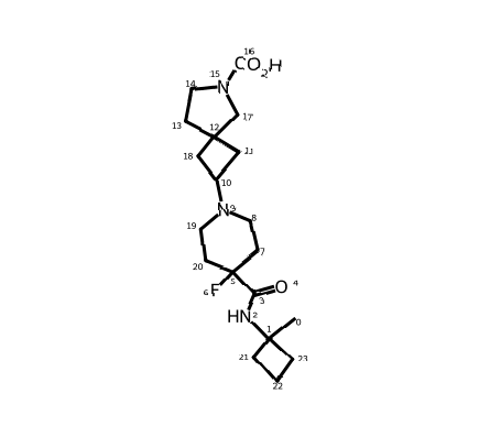 CC1(NC(=O)C2(F)CCN(C3CC4(CCN(C(=O)O)C4)C3)CC2)CCC1